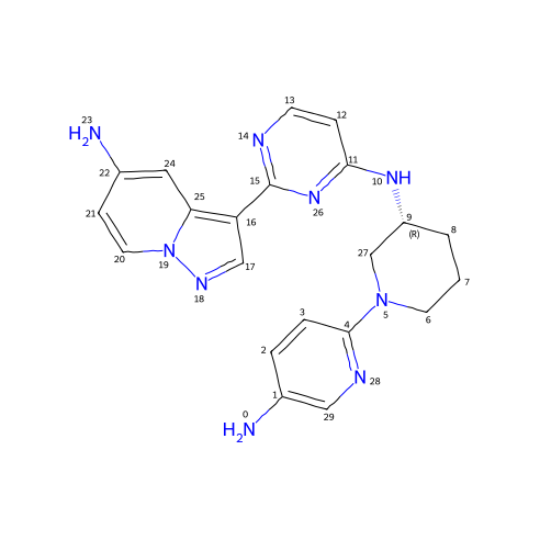 Nc1ccc(N2CCC[C@@H](Nc3ccnc(-c4cnn5ccc(N)cc45)n3)C2)nc1